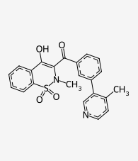 Cc1ccncc1-c1cccc(C(=O)C2=C(O)c3ccccc3S(=O)(=O)N2C)c1